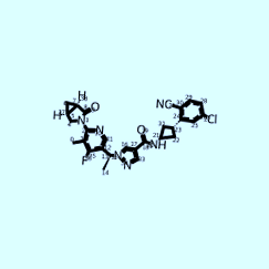 Cc1c(N2C[C@H]3C[C@H]3C2=O)ncc([C@H](C)n2cc(C(=O)N[C@H]3C[C@@H](c4cc(Cl)ccc4C#N)C3)cn2)c1F